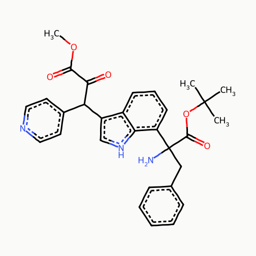 COC(=O)C(=O)C(c1ccncc1)c1c[nH]c2c(C(N)(Cc3ccccc3)C(=O)OC(C)(C)C)cccc12